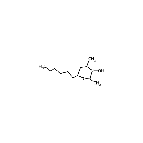 CCCCCCC1CC(C)N(O)C(C)C1